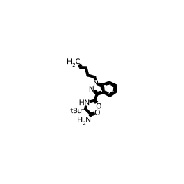 C=CCCCn1nc(C(=O)N[C@H](C(N)=O)C(C)(C)C)c2ccccc21